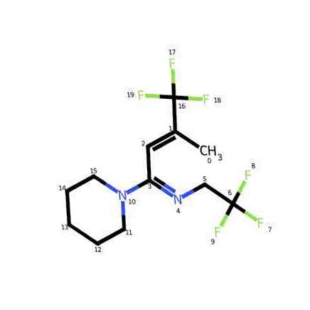 C/C(=C\C(=N/CC(F)(F)F)N1CCCCC1)C(F)(F)F